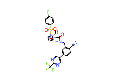 N#Cc1ccc(-c2cnc(C(F)(F)F)nc2)cc1CNC(=O)[C@@H]1C2CC(C2)N1S(=O)(=O)c1ccc(F)cc1